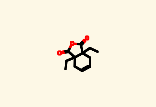 CCC12CC=CCC1(CC)C(=O)OC2=O